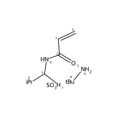 C=CC(=O)NC(C(C)C)S(=O)(=O)O.CC(C)(C)N